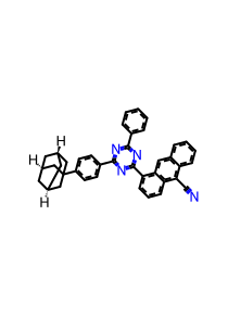 N#Cc1c2ccccc2cc2c(-c3nc(-c4ccccc4)nc(-c4ccc(C56C[C@H]7C[C@H](C5)C[C@@H](C6)C7)cc4)n3)cccc12